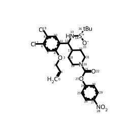 C=CCOc1cc(Cl)c(Cl)cc1C(N[S@+]([O-])C(C)(C)C)C1CCN(C(=O)Oc2ccc([N+](=O)[O-])cc2)CC1